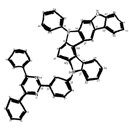 c1ccc(-c2cc(-c3ccccc3)nc(-c3cccc(-n4c5ccccc5c5c6c7cc8c(cc7n(-c7ccccc7)c6ccc54)oc4ccccc48)c3)n2)cc1